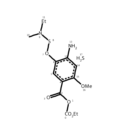 CCOC(=O)OC(=O)c1cc(OSN(C)CC)c(N)cc1OC.S